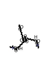 C=CC(=O)OCCCCCCn1c(=O)n(CCCCCCNC(=O)O/N=C(\C)CC)c(=O)n(CCCCCCNC(=O)O/N=C(\C)CC)c1=O